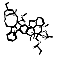 CCC(=O)OCC1(O)[C@H](OC(C)=O)[C@]2(CC)C=CCN3CC[C@@]4(c5cc([C@@]6(C(=O)OC)C[C@@H]7C=C(CC)CN(CCc8c6[nH]c6ccccc86)C7)c(OC)cc5N(C)[C@@H]14)C32